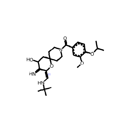 COc1cc(C(=O)N2CCC3(CC2)CC(O)C(=N)/C(=C\NC(C)(C)C)O3)ccc1OC(C)C